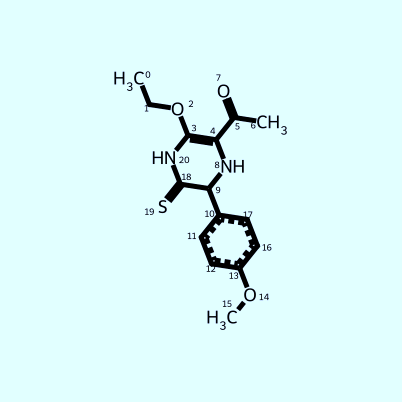 CCOC1=C(C(C)=O)NC(c2ccc(OC)cc2)C(=S)N1